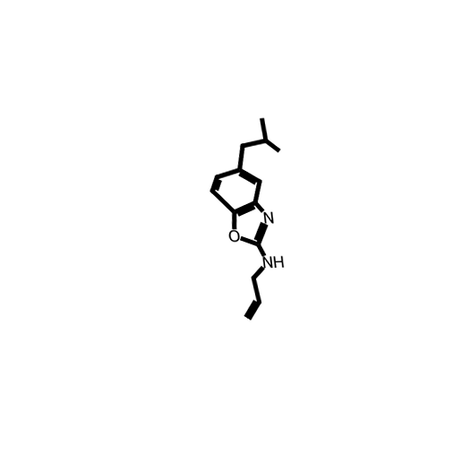 C=CCNc1nc2cc(CC(C)C)ccc2o1